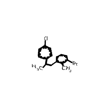 Cc1c(CC(C)c2ccc(Cl)cc2)cccc1C(C)C